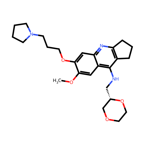 COc1cc2c(NC[C@H]3COCCO3)c3c(nc2cc1OCCCN1CCCC1)CCC3